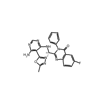 Cc1nnc(-c2c(N)ncnc2N[C@@H](C)c2nc3ccc(F)cc3c(=O)n2-c2ccccc2)o1